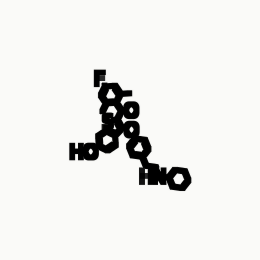 Cc1cc(F)cc(C)c1C(=O)c1sc2cc(O)ccc2c1Oc1ccc(CCNC2CCCCC2)cc1